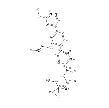 COCOc1cc(-c2cnnc(OC)c2)ccc1-c1ccc(N2CCC(NC3(CF)CC3)C2)nn1